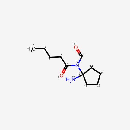 CCCCC(=O)N(C=O)C1(N)CCCC1